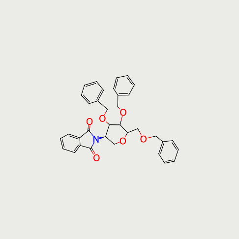 O=C1c2ccccc2C(=O)N1[C@@H]1COC(COCc2ccccc2)C(OCc2ccccc2)C1OCc1ccccc1